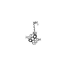 NCCCCCCNc1ccc(O)c2c1C(=O)c1c(O)ccc(Cl)c1C2=O